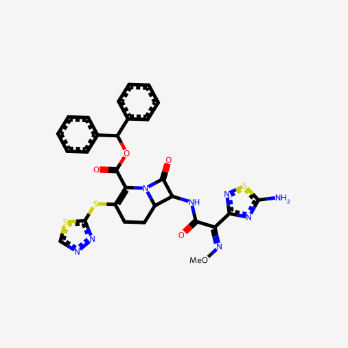 CO/N=C(\C(=O)NC1C(=O)N2C(C(=O)OC(c3ccccc3)c3ccccc3)=C(Sc3nncs3)CCC12)c1nsc(N)n1